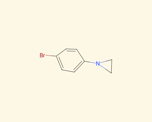 Brc1ccc(N2CC2)cc1